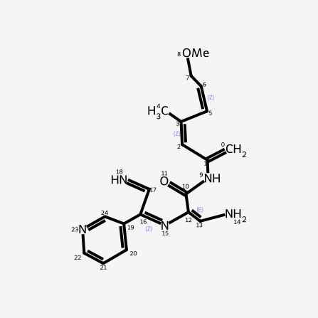 C=C(/C=C(C)\C=C/COC)NC(=O)C(=C\N)/N=C(\C=N)c1cccnc1